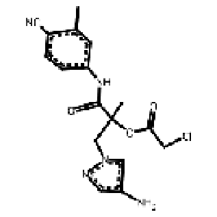 Cc1cc(NC(=O)C(C)(Cn2cc(N)cn2)OC(=O)CCl)ccc1C#N